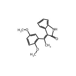 COc1ccc(OC)c(C(C)=C2C(=O)Nc3ccccc32)c1